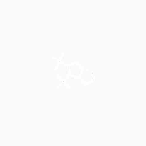 CC(C)(C)C1SC2CCCC2C1C(C)(C)C